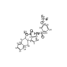 O=C(Nc1scc(C2CCc3ccccc3C2)c1C(=O)OI)c1cccc(OC(F)F)c1